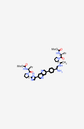 C=C(N/C=C(\N)c1ccc(-c2cnc3cc(-c4cnc([C@@H]5CCCN5C(=O)C(NC(=O)OC)C(C)C)[nH]4)cnc3c2)cc1)[C@@H]1CCCN1C(=O)[C@@H](NC(=O)OC)C(C)C